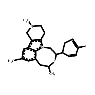 Cc1cc2c3c(c1)c1c(n3CC(C3C=CC(F)=CC3)OC(C)C2)CCN(C)C1